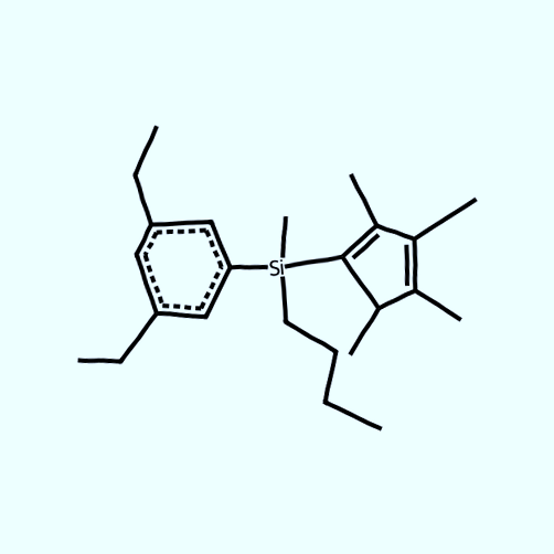 CCCC[Si](C)(C1=C(C)C(C)=C(C)C1C)c1cc(CC)cc(CC)c1